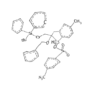 Cc1ccc(S(=O)(=O)OCC(CO[Si](c2ccccc2)(c2ccccc2)C(C)(C)C)(Cc2cc(C)ccc2S(=O)(=O)O)OCc2ccccc2)cc1